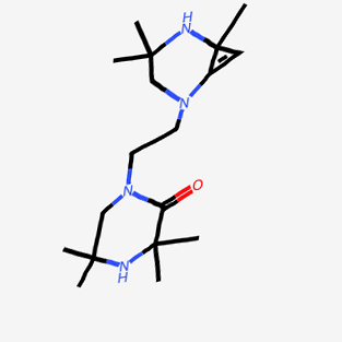 CC1(C)CN(CCN2CC(C)(C)NC3(C)C=C23)C(=O)C(C)(C)N1